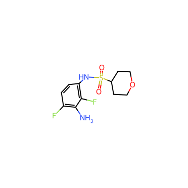 Nc1c(F)ccc(NS(=O)(=O)C2CCOCC2)c1F